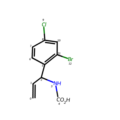 C=CC(NC(=O)O)c1ccc(Cl)cc1Br